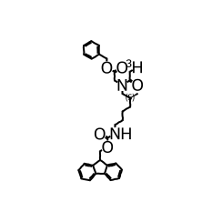 [3H]CC(=O)N(CC(=O)OCc1ccccc1)C[C@@H](C)CCCCNC(=O)OCC1c2ccccc2-c2ccccc21